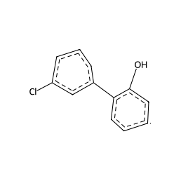 Oc1c[c]ccc1-c1cccc(Cl)c1